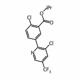 CC(C)OC(=O)c1cc(-c2ncc(C(F)(F)F)cc2Cl)ccc1Cl